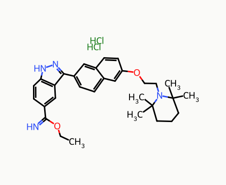 CCOC(=N)c1ccc2[nH]nc(-c3ccc4cc(OCCN5C(C)(C)CCCC5(C)C)ccc4c3)c2c1.Cl.Cl